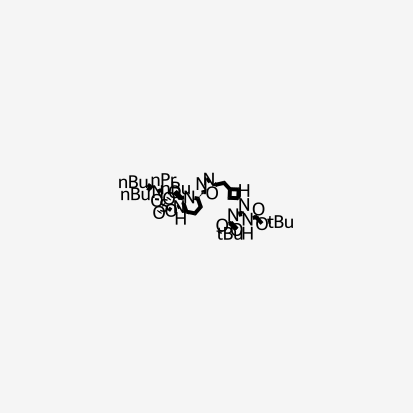 CCCCN(OS(=O)(=O)ON1C(=O)N2C[C@@H]1CC[C@H]2c1nnc(CC2CC(N/C(=N/C(=O)OC(C)(C)C)NC(=O)OC(C)(C)C)C2)o1)C(CCC)(CCCC)CCCC